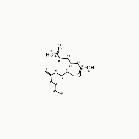 C=C(CCCC)CCCC.O=C(O)CCCCC(=O)O